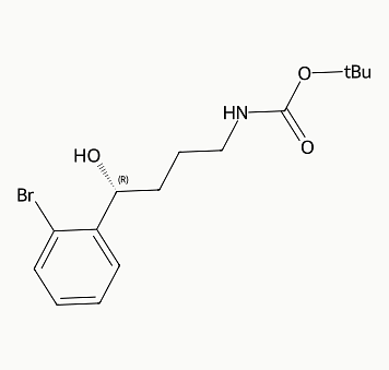 CC(C)(C)OC(=O)NCCC[C@@H](O)c1ccccc1Br